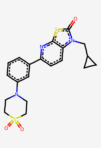 O=c1sc2nc(-c3cccc(N4CCS(=O)(=O)CC4)c3)ccc2n1CC1CC1